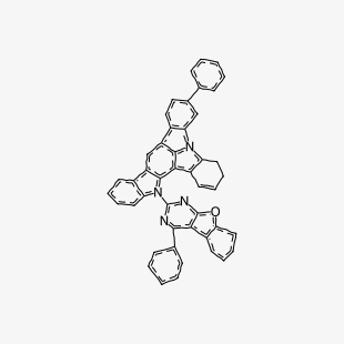 C1=Cc2c(n3c4cc(-c5ccccc5)ccc4c4cc5c6ccccc6n(-c6nc(-c7ccccc7)c7c(n6)oc6ccccc67)c5c2c43)CC1